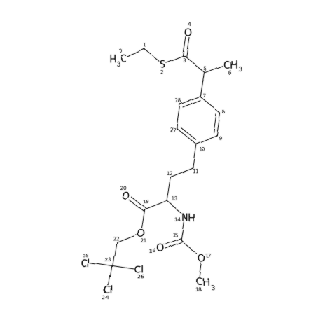 CCSC(=O)C(C)c1ccc(CCC(NC(=O)OC)C(=O)OCC(Cl)(Cl)Cl)cc1